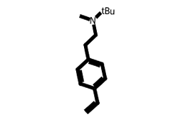 C=Cc1ccc(CCN(C)C(C)(C)C)cc1